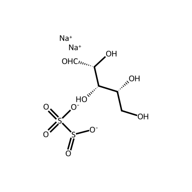 O=C[C@H](O)[C@@H](O)[C@H](O)CO.O=S([O-])S(=O)(=O)[O-].[Na+].[Na+]